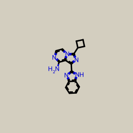 Nc1nccn2c(C3CCC3)nc(-c3nc4ccccc4[nH]3)c12